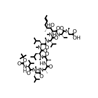 C/C=C/C[C@@H](C)[C@@H](O)[C@@H](C(=O)N[C@@H](CC)C(=O)N(C)CC(=O)O)N(C)C(=O)[C@H](C(C)C)N(C)C(=O)[C@H](CC(C)C)N(C)C(=O)[C@H](CC(C)C)N(C)C(=O)[C@@H](C)NC(=O)[C@H](C)NC(=O)[C@H](CC(C)C)N(C)C(=O)[C@@H](NC(=O)OC(C)(C)C)C(C)C